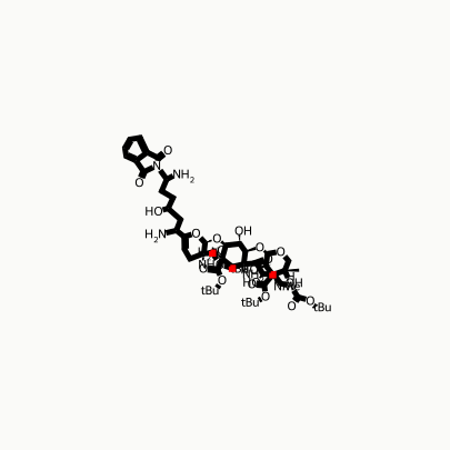 CN[C@]1(C(=O)OC(C)(C)C)[C@@H](O)[C@@H](O[C@@H]2[C@@H](O)[C@H](O[C@H]3OC(C(N)CC(O)CCC(N)N4C(=O)c5ccccc5C4=O)=CC[C@]3(N)C(=O)OC(C)(C)C)[C@](N)(C(=O)OC(C)(C)C)C[C@]2(N)C(=O)[C@@H](O)CCNC(=O)OC(C)(C)C)OC[C@]1(C)O